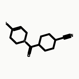 N#CC1CCC(C(=O)N2CC=C(I)CC2)CC1